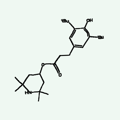 CC1(C)CC(OC(=O)CCc2cc(C(C)(C)C)c(O)c(C(C)(C)C)c2)CC(C)(C)N1